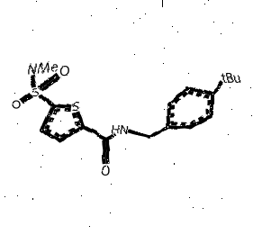 CNS(=O)(=O)c1ccc(C(=O)NCc2ccc(C(C)(C)C)cc2)s1